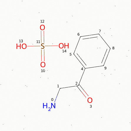 NCC(=O)c1ccccc1.O=S(=O)(O)O